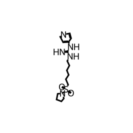 N=C(NCCCCCCS(=O)(=O)N1CCCC1)Nc1ccncc1